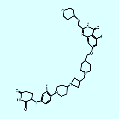 O=C1CCC(Nc2ccc(N3CCC(N4CC(CN5CCC(COc6cc(F)c7c(=O)[nH]c(CSC8CCOCC8)nc7c6)CC5)C4)CC3)c(F)c2)C(=O)N1